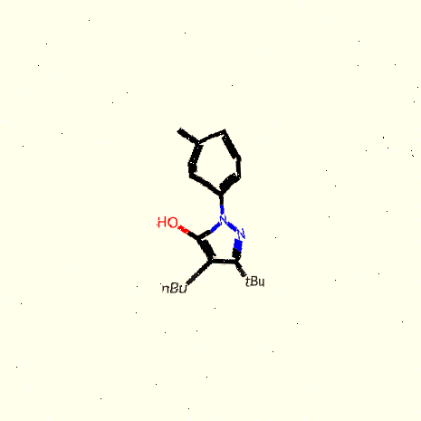 CCCCc1c(C(C)(C)C)nn(-c2cccc(C)c2)c1O